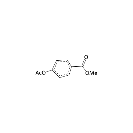 COC(=O)c1ccc(OC(C)=O)cc1